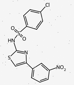 O=[N+]([O-])c1cccc(-c2csc(NS(=O)(=O)c3ccc(Cl)cc3)n2)c1